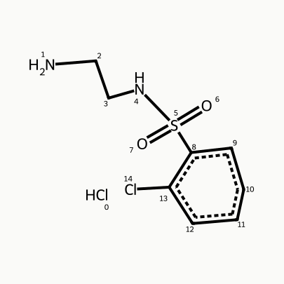 Cl.NCCNS(=O)(=O)c1ccccc1Cl